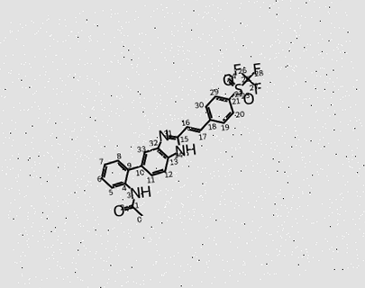 CC(=O)Nc1ccccc1-c1ccc2[nH]c(/C=C/c3ccc(S(=O)(=O)C(F)(F)F)cc3)nc2c1